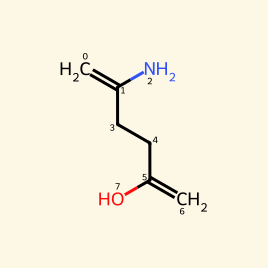 C=C(N)CCC(=C)O